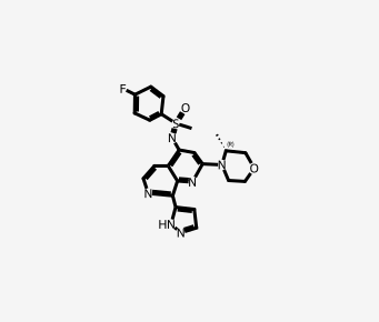 C[C@@H]1COCCN1c1cc(N=S(C)(=O)c2ccc(F)cc2)c2ccnc(-c3ccn[nH]3)c2n1